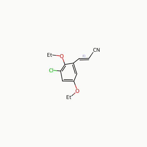 CCOc1cc(Cl)c(OCC)c(/C=C/C#N)c1